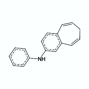 C1=Cc2ccc(Nc3ccccc3)cc2C=CC1